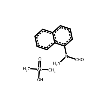 C[As](C)(=O)O.NN(C=O)c1cccc2ccccc12